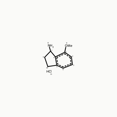 COc1cccc2c1C(N)CC2.Cl